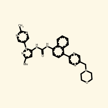 Cc1ncc(-n2nc(C(C)(C)C)cc2NC(=O)Nc2ccc(-c3cnc(CN4CCOCC4)cn3)c3ccccc23)cn1